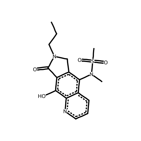 CCCN1Cc2c(c(O)c3ncccc3c2N(C)S(C)(=O)=O)C1=O